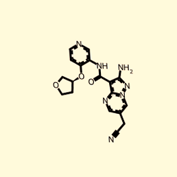 N#CCc1cnc2c(C(=O)Nc3cnccc3O[C@H]3CCOC3)c(N)nn2c1